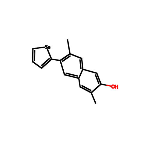 Cc1cc2cc(-c3ccc[se]3)c(C)cc2cc1O